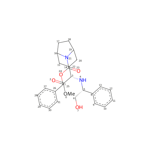 COC(=O)[C@@H](N[C@@H](CO)c1ccccc1)C1CC2CCC(C1)N2C(=O)OCc1ccccc1